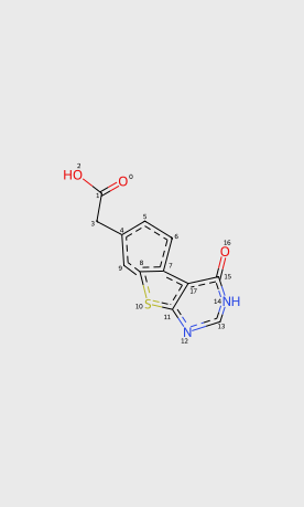 O=C(O)Cc1ccc2c(c1)sc1nc[nH]c(=O)c12